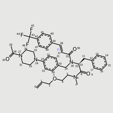 C=CCOCCN(C)C(=O)[C@H](Cc1ccccc1)N(Cc1ccc(N2CCN(C(C)=O)CC2)cc1)C(=O)/C=C/c1ccc(C(F)(F)F)cc1